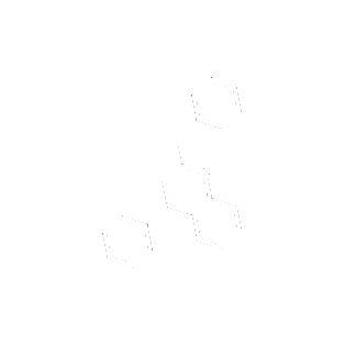 [c]1ccc(Sc2cc(-c3ccccc3)c3ccccc3n2)cc1